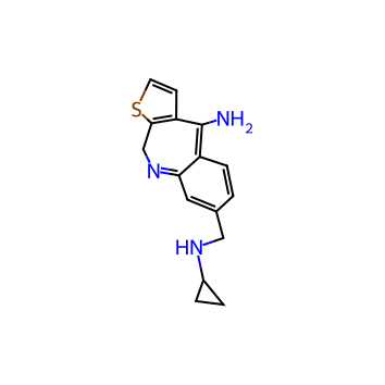 NC1=c2ccc(CNC3CC3)cc2=NCc2sccc21